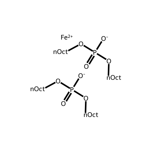 CCCCCCCCOP(=O)([O-])OCCCCCCCC.CCCCCCCCOP(=O)([O-])OCCCCCCCC.[Fe+2]